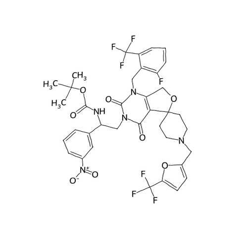 CC(C)(C)OC(=O)NC(Cn1c(=O)c2c(n(Cc3c(F)cccc3C(F)(F)F)c1=O)COC21CCN(Cc2ccc(C(F)(F)F)o2)CC1)c1cccc([N+](=O)[O-])c1